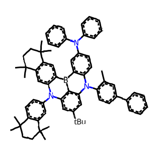 Cc1cc(-c2ccccc2)ccc1N1c2ccc(N(c3ccccc3)c3ccccc3)cc2B2c3cc4c(cc3N(c3ccc5c(c3)C(C)(C)CCC5(C)C)c3cc(C(C)(C)C)cc1c32)C(C)(C)CCC4(C)C